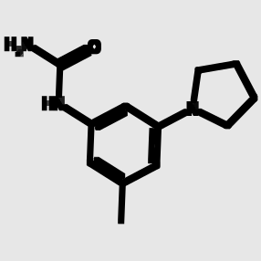 Cc1cc(NC(N)=O)cc(N2CCCC2)c1